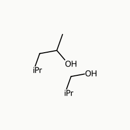 CC(C)CC(C)O.CC(C)CO